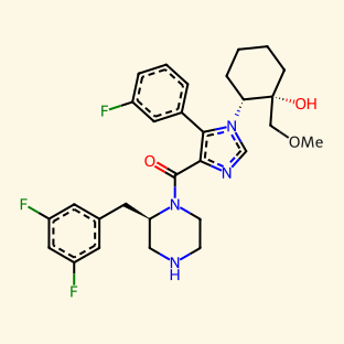 COC[C@]1(O)CCCC[C@H]1n1cnc(C(=O)N2CCNC[C@H]2Cc2cc(F)cc(F)c2)c1-c1cccc(F)c1